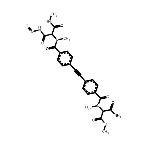 CNC(=O)C(C(=O)NN=O)N(C)C(=O)c1ccc(C#Cc2ccc(C(=O)N(C)C(C(N)=O)C(=O)OC)cc2)cc1